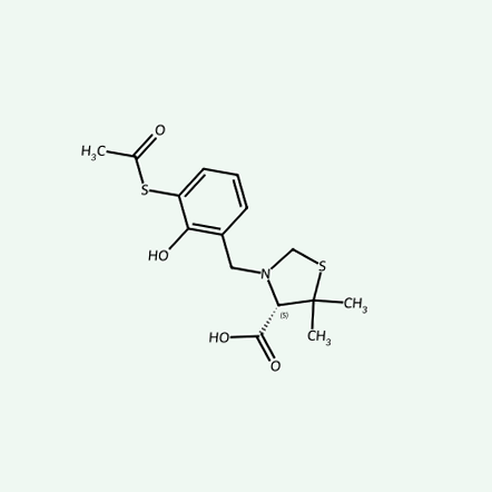 CC(=O)Sc1cccc(CN2CSC(C)(C)[C@@H]2C(=O)O)c1O